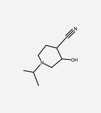 CC(C)N1CCC(C#N)C(O)C1